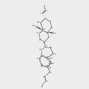 CC=C[C@@H]1CC[C@@H]2CC(C3CCc4cc(CCCC)ccc4C3)CC[C@@H]2C1